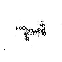 N#Cc1ccc(Cn2cc(NC(=O)c3cccnn3)c3cc(-c4cc(C(=O)Nc5cn(Cc6ccc(C(F)(F)F)nc6)c6ccccc56)co4)ccc32)cc1